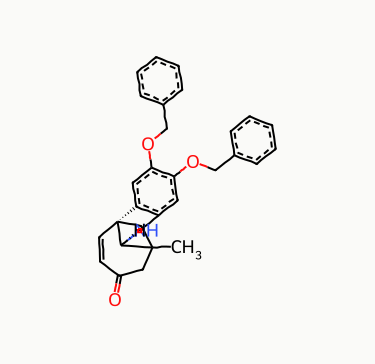 CC12CC(=O)C=C[C@]3(C1)c1cc(OCc4ccccc4)c(OCc4ccccc4)cc1CN[C@@H]23